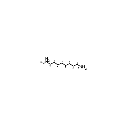 NCCCCCCCCN.[Li]